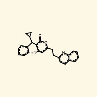 O=c1oc(CCc2ccc3ccccc3n2)cc(O)c1C(c1ccccc1)C1CC1